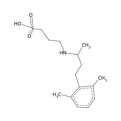 Cc1cccc(C)c1CCC(C)NCCCS(=O)(=O)O